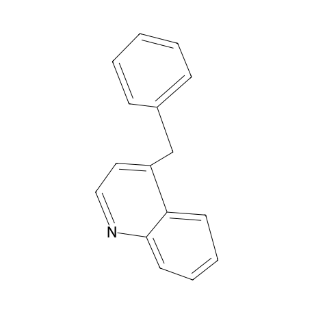 c1ccc(Cc2ccnc3ccccc23)cc1